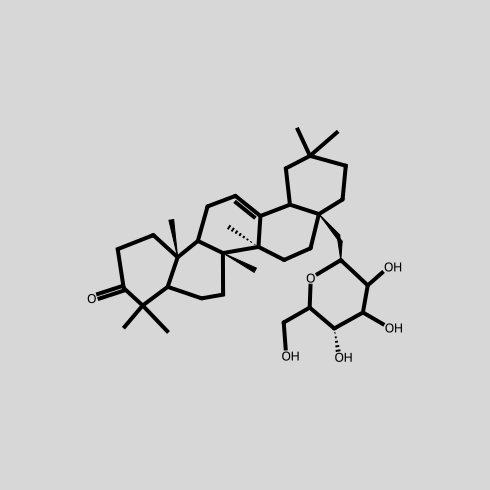 CC1(C)CC[C@]2(C[C@@H]3OC(CO)[C@@H](O)C(O)C3O)CC[C@]3(C)C(=CCC4[C@@]5(C)CCC(=O)C(C)(C)C5CC[C@]43C)C2C1